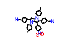 Cc1ccc(N2C(c3ccc(C#N)cc3)=CC3C2=C(c2ccc([N+](=O)[O-])cc2)C(c2ccc(C#N)cc2)N3c2ccc(C)cc2)cc1